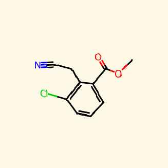 COC(=O)c1cccc(Cl)c1CC#N